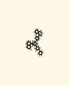 c1ccc(-c2ccc(-c3nc(-c4ccc(-c5nccc6ccccc56)cc4)nc(-c4nccc5ccccc45)n3)cc2)cc1